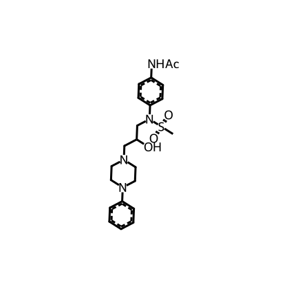 CC(=O)Nc1ccc(N(CC(O)CN2CCN(c3ccccc3)CC2)S(C)(=O)=O)cc1